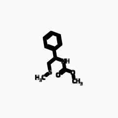 COC(=O)NC(CSC)c1ccccc1